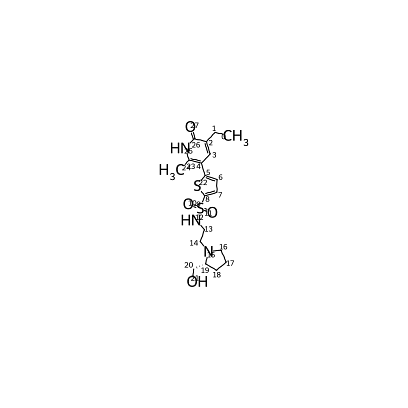 CCc1cc(-c2ccc(S(=O)(=O)NCCN3CCC[C@@H]3CO)s2)c(C)[nH]c1=O